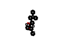 c1ccc(-n2c3ccccc3c3c(-c4ccc5c(c4)C4(c6ccccc6Oc6ccccc64)c4ccc(-c6ccccn6)cc4O5)cccc32)cc1